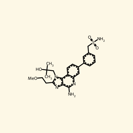 COCCc1nc2c(N)nc3cc(-c4cccc(CS(N)(=O)=O)c4)ccc3c2n1CC(C)(C)O